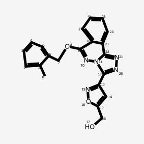 Cc1ccccc1COc1nn2c(-c3cc(CO)on3)nnc2c2ccccc12